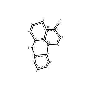 O=c1ccn2c3c(cccc13)Nc1ccccc1-2